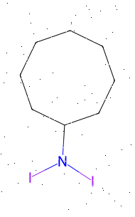 IN(I)C1CCCCCCC1